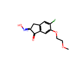 COCCOc1cc2c(cc1F)C/C(=N\O)C2=O